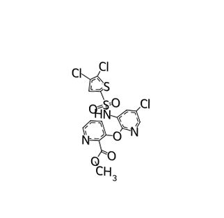 COC(=O)c1ncccc1Oc1ncc(Cl)cc1NS(=O)(=O)c1cc(Cl)c(Cl)s1